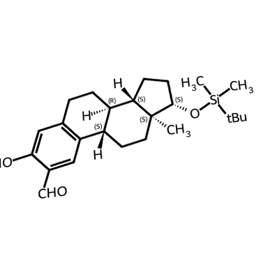 CC(C)(C)[Si](C)(C)O[C@H]1CC[C@H]2[C@@H]3CCc4cc(O)c(C=O)cc4[C@H]3CC[C@]12C